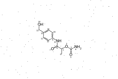 CC(OC(N)=O)C(=O)Nc1ccc(CO)cc1